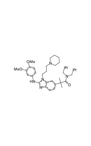 COc1ccc(Nc2nc3ccc(C(C)(C)C(=O)N(CC(C)C)CC(C)C)cc3n2CCCN2CCCCC2)cc1OC